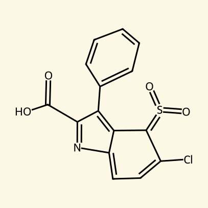 O=C(O)C1=NC2=CC=C(Cl)C(=S(=O)=O)C2=C1c1ccccc1